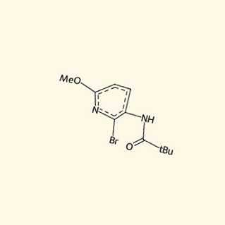 COc1ccc(NC(=O)C(C)(C)C)c(Br)n1